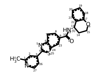 Cc1cc(-c2nc3ccc(C(=O)N[C@H]4CCOc5ccccc54)cc3s2)ccn1